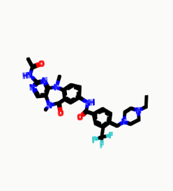 CCN1CCN(Cc2ccc(C(=O)Nc3ccc4c(c3)C(=O)N(C)c3cnc(NC(C)=O)nc3N4C)cc2C(F)(F)F)CC1